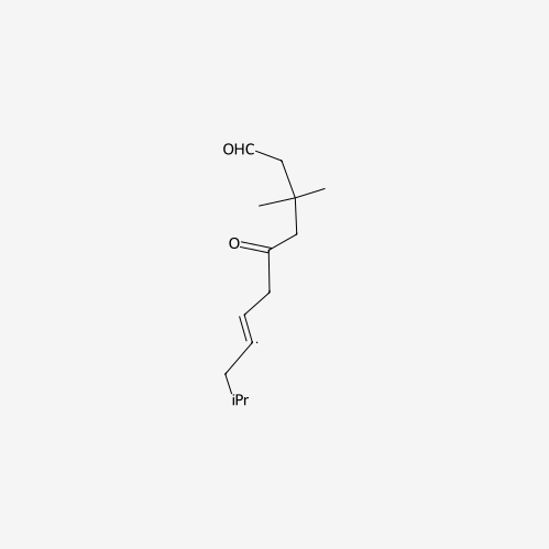 CC(C)C[C]=CCC(=O)CC(C)(C)CC=O